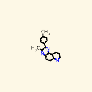 Cc1ccc(-c2nc3c(ccc4ncccc43)nc2C)cc1